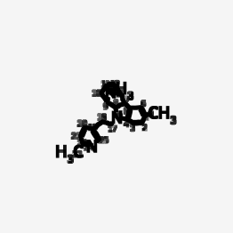 Cc1ccc2c(c1)C1C(C3CCCC1N3C)N2CCc1ccc(C)nc1